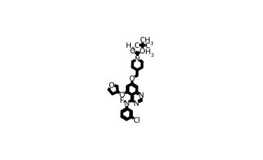 CC(C)(C)OC(=O)N1CCC(COc2cc(OC3CCOC3)c3c(N(F)c4cccc(Cl)c4)ncnc3c2)CC1